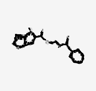 O=C(OCOC(=O)c1cc2occc2[nH]1)c1ccccc1